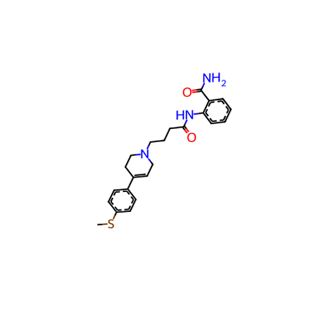 CSc1ccc(C2=CCN(CCCC(=O)Nc3ccccc3C(N)=O)CC2)cc1